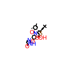 CC1=CC[C@H](C(=O)N(c2cc(C#CC(C)(C)C)sc2C(=O)O)[C@H]2CC[C@H](Oc3nccc(=O)[nH]3)CC2)[C@@H](C)C1